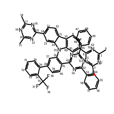 Cc1nc(C)nc(-c2ccc3c4ccc(-c5nc(C)nc(C)n5)cc4n(-c4cc(-c5ccccc5C(F)(F)F)ccc4-c4nc(-c5ccccc5)nc(-c5ccccc5)n4)c3c2)n1